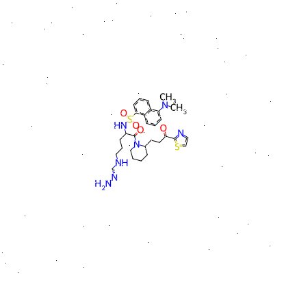 CN(C)c1cccc2c(S(=O)(=O)NC(CCCNC=NN)C(=O)N3CCCCC3CCC(=O)c3nccs3)cccc12